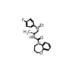 CCN(C[C@H](C)NC(=O)N1CCCOc2ccccc21)c1ccc(F)cc1